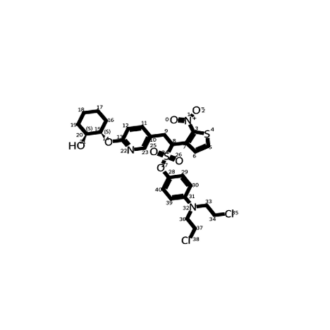 O=[N+]([O-])c1sccc1C(Cc1ccc(O[C@H]2CCCC[C@@H]2O)nc1)S(=O)(=O)Oc1ccc(N(CCCl)CCCl)cc1